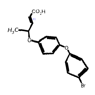 CC(/C=C/C(=O)O)Oc1ccc(Oc2ccc(Br)cc2)cc1